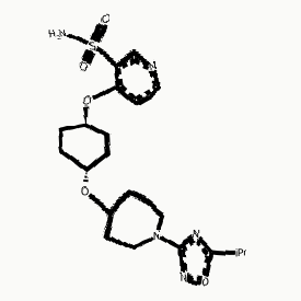 CC(C)c1nc(N2CCC(O[C@H]3CC[C@H](Oc4ccncc4S(N)(=O)=O)CC3)CC2)no1